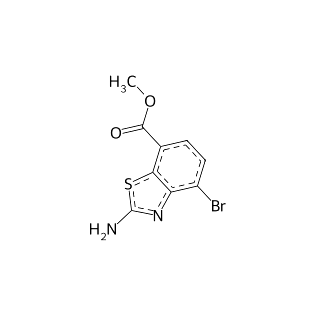 COC(=O)c1ccc(Br)c2nc(N)sc12